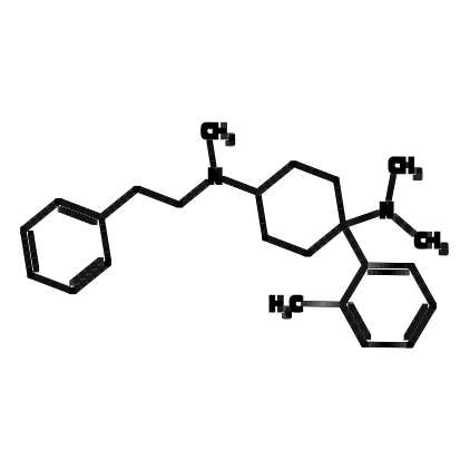 Cc1ccccc1C1(N(C)C)CCC(N(C)CCc2ccccc2)CC1